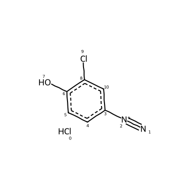 Cl.N#[N+]c1ccc(O)c(Cl)c1